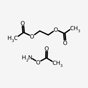 CC(=O)OCCOC(C)=O.CC(=O)ON